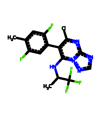 Cc1cc(F)c(-c2c(Cl)nc3ncnn3c2NC(C)C(F)(F)F)cc1F